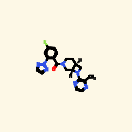 Cc1nccnc1N1C[C@@H]2CCN(C(=O)c3ccc(F)cc3-n3nccn3)C[C@@H]21